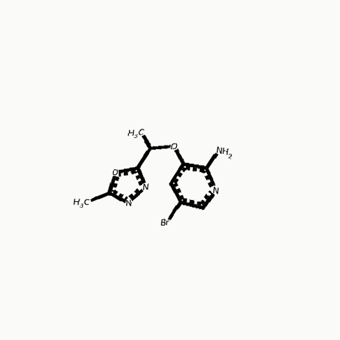 Cc1nnc(C(C)Oc2cc(Br)cnc2N)o1